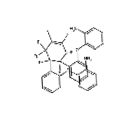 CC(C)C1(F)C(F)=C(F)C(F)C(F)(c2ccccc2Oc2ccccc2N)C1(F)c1ccccc1Oc1ccccc1N